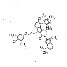 Cc1cc(OCCCc2c3n(c4c(-c5c(C)nn(C)c5C)c(Cl)ccc24)[C@H](C)CN(c2cc4c(C(=O)O)cccc4n2C)C3=O)cc(C)c1Cl